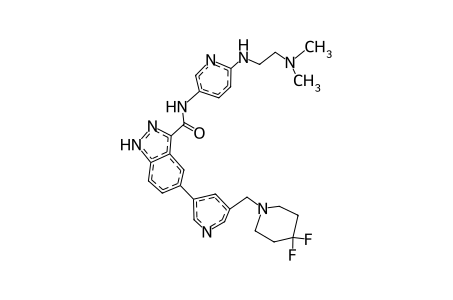 CN(C)CCNc1ccc(NC(=O)c2n[nH]c3ccc(-c4cncc(CN5CCC(F)(F)CC5)c4)cc23)cn1